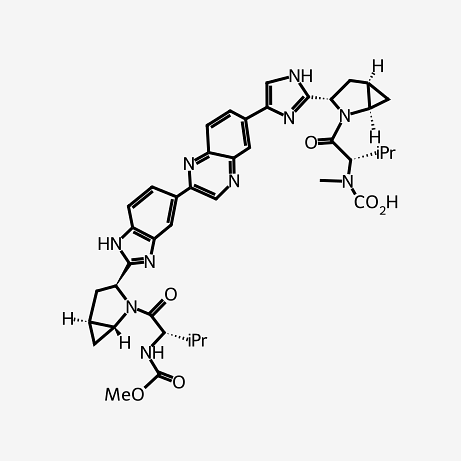 COC(=O)N[C@H](C(=O)N1[C@@H]2C[C@H]2C[C@H]1c1nc2cc(-c3cnc4cc(-c5c[nH]c([C@@H]6C[C@H]7C[C@H]7N6C(=O)[C@H](C(C)C)N(C)C(=O)O)n5)ccc4n3)ccc2[nH]1)C(C)C